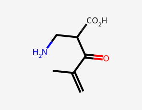 C=C(C)C(=O)C(CN)C(=O)O